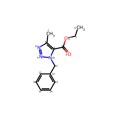 CCOC(=O)c1c(C)nnn1Cc1ccccc1